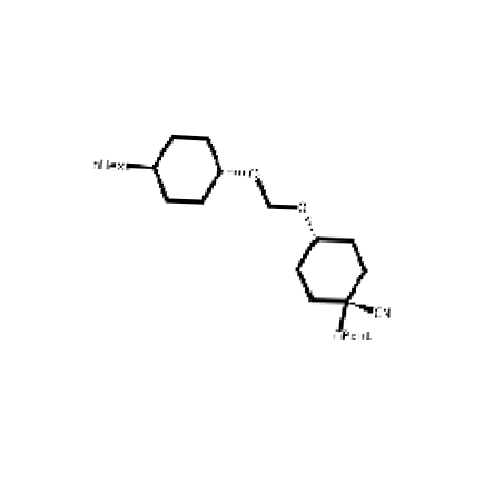 CCCCCC[C@H]1CC[C@H](OCO[C@H]2CC[C@@](C#N)(CCCCC)CC2)CC1